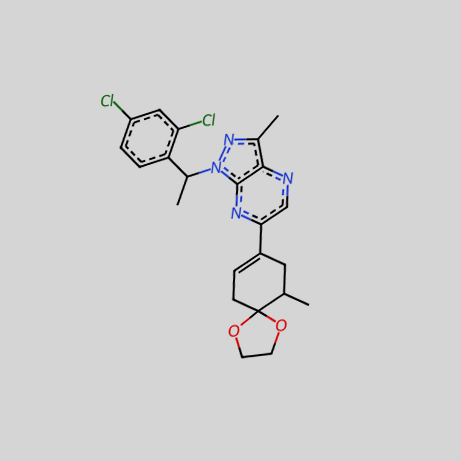 Cc1nn(C(C)c2ccc(Cl)cc2Cl)c2nc(C3=CCC4(OCCO4)C(C)C3)cnc12